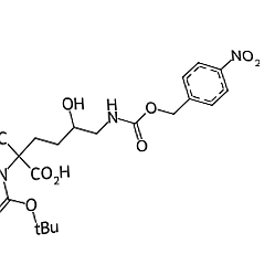 CC(C)(C)OC(=O)NC(C)(CCC(O)CNC(=O)OCc1ccc([N+](=O)[O-])cc1)C(=O)O